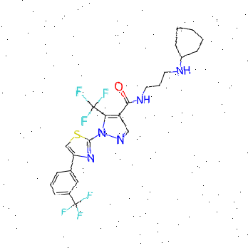 O=C(NCCCNC1CCCCC1)c1cnn(-c2nc(-c3cccc(C(F)(F)F)c3)cs2)c1C(F)(F)F